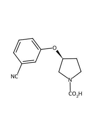 N#Cc1cccc(O[C@H]2CCN(C(=O)O)C2)c1